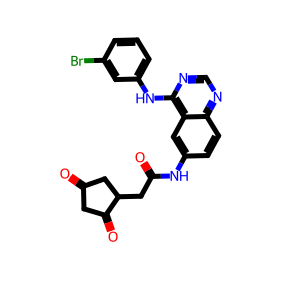 O=C1CC(=O)C(CC(=O)Nc2ccc3ncnc(Nc4cccc(Br)c4)c3c2)C1